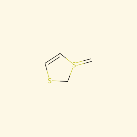 C=S1C=CSC1